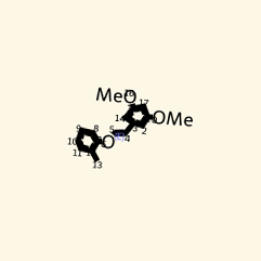 COc1cc(/C=C/Oc2ccccc2C)cc(OC)c1